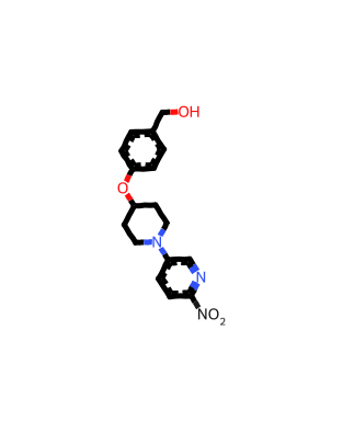 O=[N+]([O-])c1ccc(N2CCC(Oc3ccc(CO)cc3)CC2)cn1